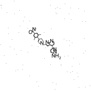 Cc1cc(C(=O)N(C)C)cc(C)c1C1=CCN(Cc2cc3c(-c4ccc(N)nn4)ccnc3n2C)CC1